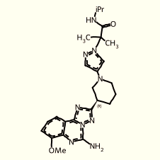 COc1cccc2c1nc(N)n1nc([C@@H]3CCCN(c4cnn(C(C)(C)C(=O)NC(C)C)c4)C3)nc21